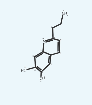 NCCc1ccc2cc(O)c(O)cc2n1